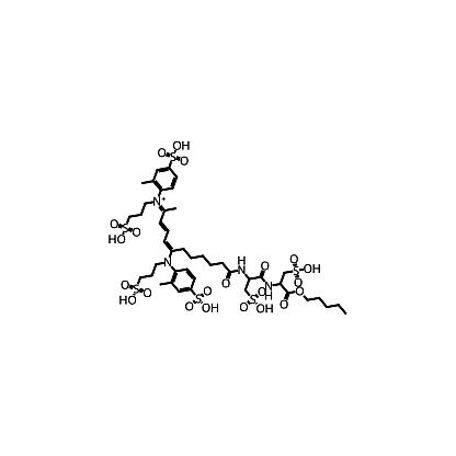 CCCCCOC(=O)C(CS(=O)(=O)O)NC(=O)C(CS(=O)(=O)O)NC(=O)CCCCC\C(=C/C=C/C(C)=[N+](\CCCS(=O)(=O)O)c1ccc(S(=O)(=O)O)cc1C)N(CCCS(=O)(=O)O)c1ccc(S(=O)(=O)O)cc1C